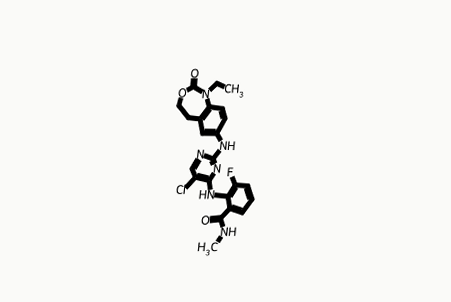 CCN1C(=O)OCCc2cc(Nc3ncc(Cl)c(Nc4c(F)cccc4C(=O)NC)n3)ccc21